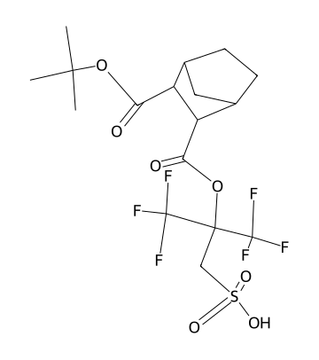 CC(C)(C)OC(=O)C1C2CCC(C2)C1C(=O)OC(CS(=O)(=O)O)(C(F)(F)F)C(F)(F)F